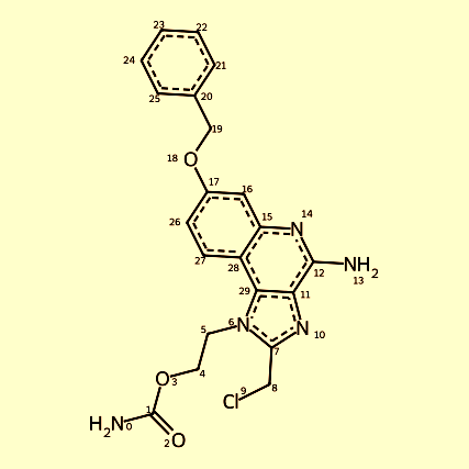 NC(=O)OCCn1c(CCl)nc2c(N)nc3cc(OCc4ccccc4)ccc3c21